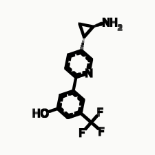 N[C@@H]1C[C@H]1c1ccc(-c2cc(O)cc(C(F)(F)F)c2)nc1